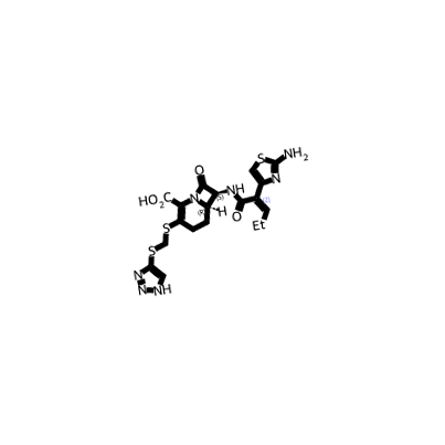 CC/C=C(\C(=O)N[C@@H]1C(=O)N2C(C(=O)O)=C(SCSc3c[nH]nn3)CC[C@H]12)c1csc(N)n1